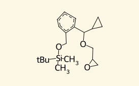 CC(C)(C)[Si](C)(C)OCc1ccccc1C(OCC1CO1)C1CC1